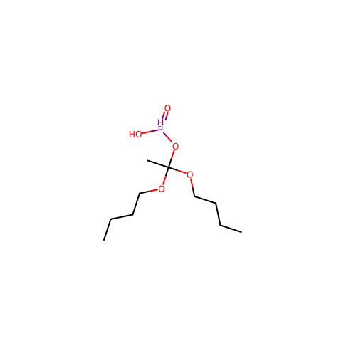 CCCCOC(C)(OCCCC)O[PH](=O)O